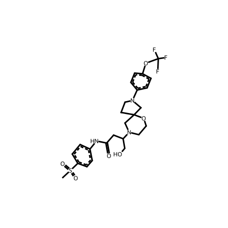 CS(=O)(=O)c1ccc(NC(=O)CC(CO)N2CCOC3(CCN(c4ccc(OC(F)(F)F)cc4)C3)C2)cc1